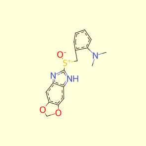 CN(C)c1ccccc1C[S+]([O-])c1nc2cc3c(cc2[nH]1)OCO3